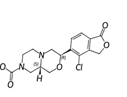 CC(C)(C)OC(=O)N1CCN2C[C@@H](c3ccc4c(c3Cl)COC4=O)OC[C@@H]2C1